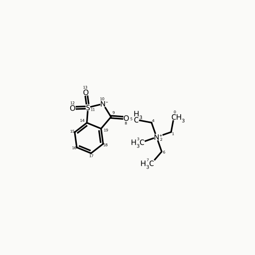 CC[N+](C)(CC)CC.O=C1[N-]S(=O)(=O)c2ccccc21